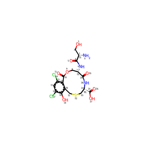 N[C@@H](CO)C(=O)N[C@H]1COC(=O)c2c(Cl)cc(Cl)c(O)c2CSC[C@@H](C(=O)O)NC1=O